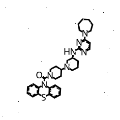 O=C(N1CCC(N2CCCC(Nc3nccc(N4CCCCCC4)n3)C2)CC1)N1c2ccccc2Sc2ccccc21